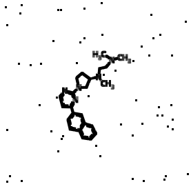 CN(C)CCN(C)[C@@H]1CCN(c2nccc(-c3ccc4ccccc4c3)n2)C1